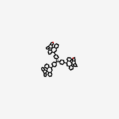 C1=C(c2ccc(N(c3ccc(C4=Cc5ccccc5C5(c6ccccc64)c4ccccc4-c4ccccc45)cc3)c3ccc(C4=Cc5ccccc5C5(c6ccccc64)c4ccccc4-c4ccccc45)cc3)cc2)c2ccccc2C2(c3ccccc31)c1ccccc1-c1ccccc12